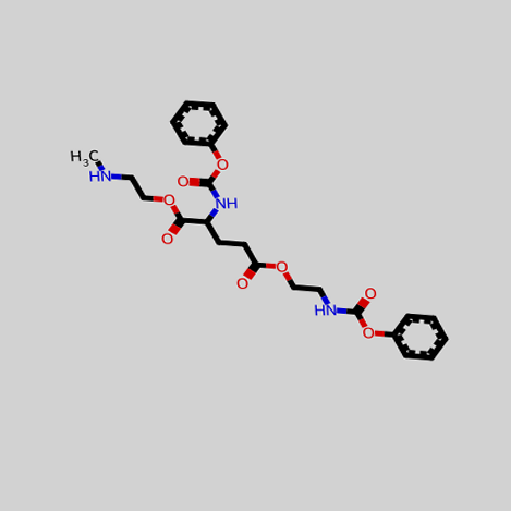 CNCCOC(=O)C(CCC(=O)OCCNC(=O)Oc1ccccc1)NC(=O)Oc1ccccc1